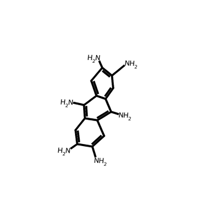 Nc1cc2c(N)c3cc(N)c(N)cc3c(N)c2cc1N